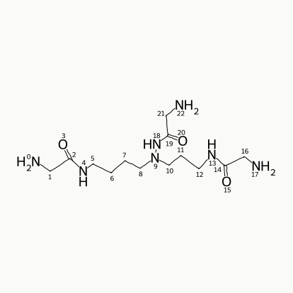 NCC(=O)NCCCCN(CCCNC(=O)CN)NC(=O)CN